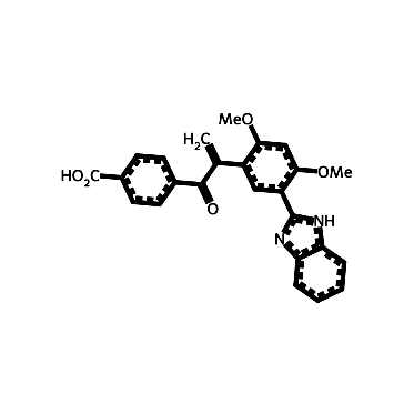 C=C(C(=O)c1ccc(C(=O)O)cc1)c1cc(-c2nc3ccccc3[nH]2)c(OC)cc1OC